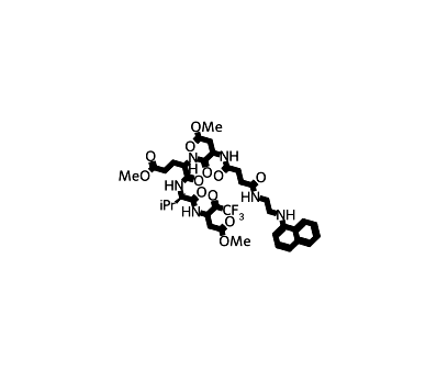 COC(=O)CCC(NC(=O)C(CC(=O)OC)NC(=O)CCC(=O)NCCNc1cccc2ccccc12)C(=O)N[C@@H](C(=O)NC(CC(=O)OC)C(=O)C(F)(F)F)C(C)C